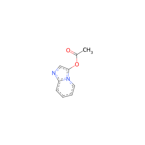 CC(=O)Oc1cnc2ccccn12